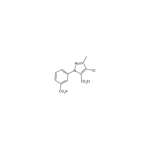 CCOC(=O)c1c(Cl)c(C)nn1-c1cccc(C(=O)O)c1